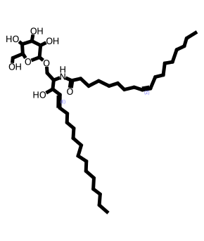 CCCCCCCC/C=C\CCCCCCCC(=O)NC(COC1OC(CO)C(O)C(O)C1O)C(O)/C=C/CCCCCCCCCCCCC